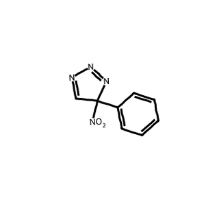 O=[N+]([O-])C1(c2ccccc2)C=NN=N1